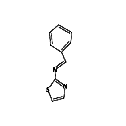 C(=Nc1nccs1)c1ccccc1